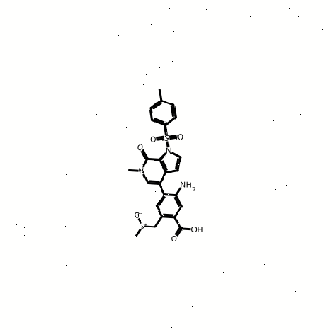 Cc1ccc(S(=O)(=O)n2ccc3c(-c4cc(C[S+](C)[O-])c(C(=O)O)cc4N)cn(C)c(=O)c32)cc1